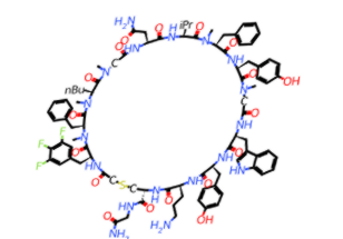 CCCC[C@H]1C(=O)N(C)CC(=O)N[C@@H](CC(N)=O)C(=O)N[C@@H](C(C)C)C(=O)N(C)[C@@H](Cc2ccccc2)C(=O)N[C@@H](Cc2ccc(O)cc2)C(=O)N(C)CC(=O)N[C@@H](Cc2c[nH]c3ccccc23)C(=O)N[C@@H](Cc2ccc(O)cc2)C(=O)N[C@@H](CCCN)C(=O)N[C@H](C(=O)NCC(N)=O)CSCC(=O)N[C@@H](Cc2cc(F)c(F)c(F)c2)C(=O)N(C)[C@@H](Cc2ccccc2)C(=O)N1C